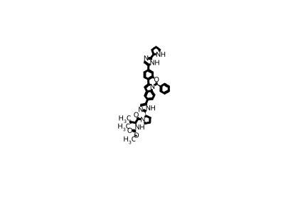 COC(=O)N[C@H](C(=O)N1CCC[C@H]1c1ncc(-c2ccc3c(c2)cc2n3[C@H](c3ccccc3)Oc3cc(-c4cnc(C5CCCN5)[nH]4)ccc3-2)[nH]1)C(C)C